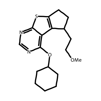 COCCC1CCc2sc3ncnc(OC4CCCCC4)c3c21